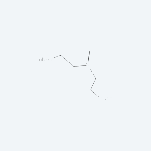 CCCCCCCCCCCN(C)CCCCCCCCCCC